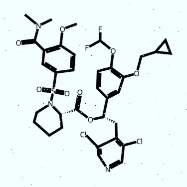 COc1ccc(S(=O)(=O)N2CCCC[C@H]2C(=O)O[C@@H](Cc2c(Cl)cncc2Cl)c2ccc(OC(F)F)c(OCC3CC3)c2)cc1C(=O)N(C)C